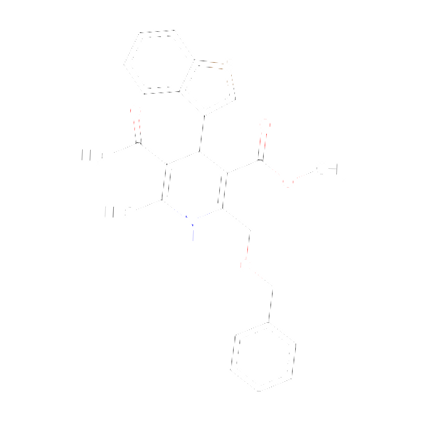 COC(=O)C1=C(COCc2ccccc2)NC(C)=C(C(C)=O)C1c1csc2ccccc12